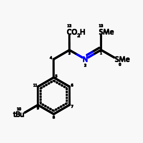 CSC(=NC(Cc1cccc(C(C)(C)C)c1)C(=O)O)SC